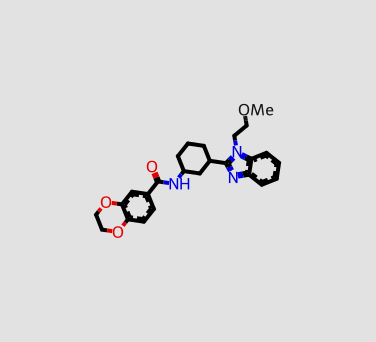 COCCn1c(C2CCCC(NC(=O)c3ccc4c(c3)OCCO4)C2)nc2ccccc21